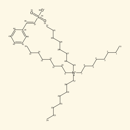 CCCCCCCC[N+](CCCCCCCC)(CCCCCCCC)CCCCCCCC.O=S(=O)([O-])C=Cc1ccccc1